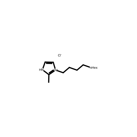 CCCCCCCCCC[n+]1cc[nH]c1C.[Cl-]